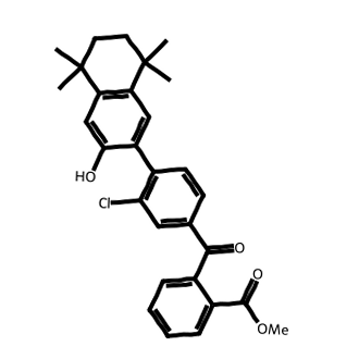 COC(=O)c1ccccc1C(=O)c1ccc(-c2cc3c(cc2O)C(C)(C)CCC3(C)C)c(Cl)c1